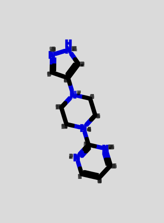 c1cnc(N2CCN(c3cn[nH]c3)CC2)nc1